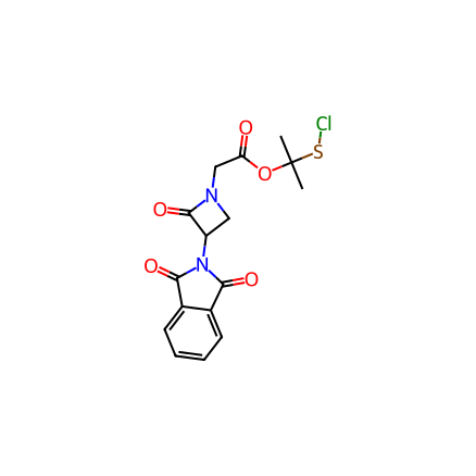 CC(C)(OC(=O)CN1CC(N2C(=O)c3ccccc3C2=O)C1=O)SCl